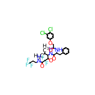 CC(C)C(NC(=O)C(Cc1ccccc1)NC(=O)COc1ccc(Cl)c(Cl)c1)C(=O)C(F)(F)C(=O)NCCC(F)(F)F